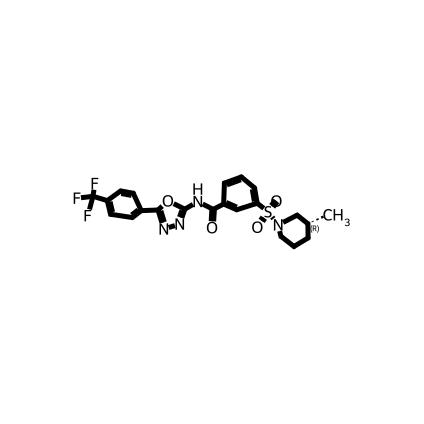 C[C@@H]1CCCN(S(=O)(=O)c2cccc(C(=O)Nc3nnc(-c4ccc(C(F)(F)F)cc4)o3)c2)C1